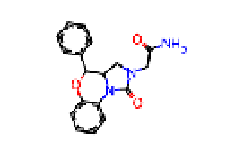 NC(=O)CN1CC2C(c3ccccc3)Oc3ccccc3N2C1=O